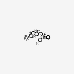 CCC1CCC(O)(CC([C@@H](C)[C@H]2CCC3[C@@H]4CC[C@H]5C[C@](O)(C(F)(F)F)CC[C@]5(C)[C@H]4CC[C@@]32C)S(=O)(=O)c2ccccc2)CC1